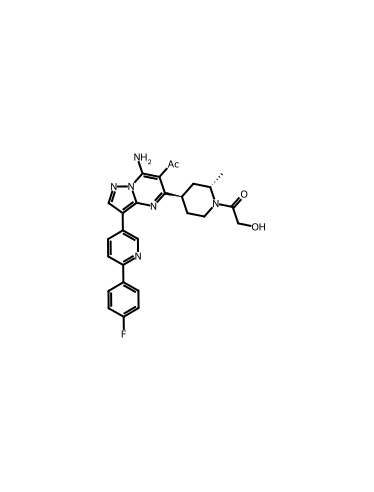 CC(=O)c1c([C@@H]2CCN(C(=O)CO)[C@@H](C)C2)nc2c(-c3ccc(-c4ccc(F)cc4)nc3)cnn2c1N